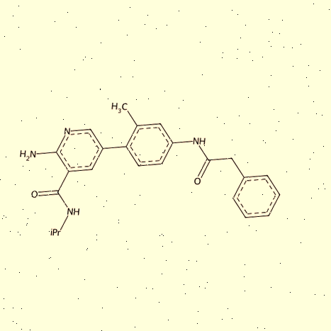 Cc1cc(NC(=O)Cc2ccccc2)ccc1-c1cnc(N)c(C(=O)NC(C)C)c1